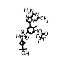 Cc1ccc(S(=O)(=O)NC23CC(C(C)(C)O)(C2)C3)cc1-c1cnc2c(N)nc(C(F)(F)F)cn12.O=C(O)C(F)(F)F